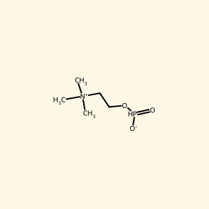 C[N+](C)(C)CCO[PH](=O)[O-]